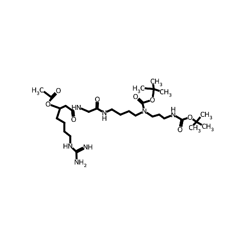 CC(=O)OC(CCCCNC(=N)N)CC(=O)NCC(=O)NCCCCN(CCCNC(=O)OC(C)(C)C)C(=O)OC(C)(C)C